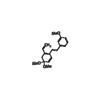 C=CC1=C(C=Cc2cccc(OC)c2)C=CC(OC)(OC)C1